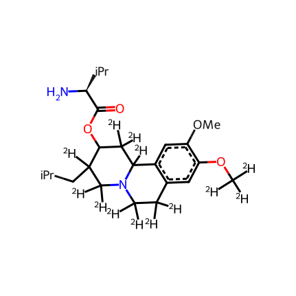 [2H]C([2H])([2H])Oc1cc2c(cc1OC)C1([2H])N(C([2H])([2H])C2([2H])[2H])C([2H])([2H])C([2H])(CC(C)C)C(OC(=O)[C@@H](N)C(C)C)C1([2H])[2H]